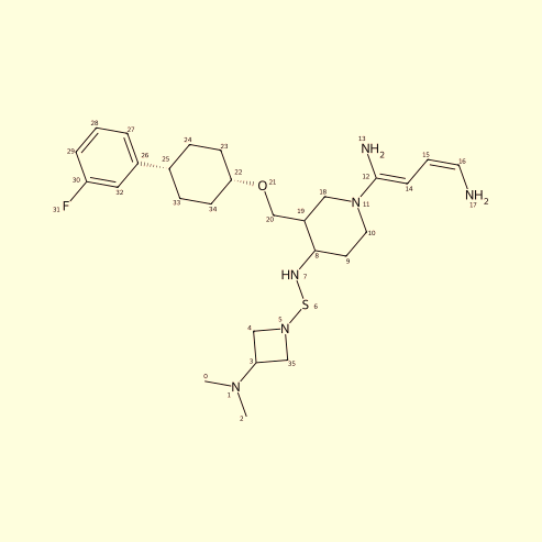 CN(C)C1CN(SNC2CCN(/C(N)=C/C=C\N)CC2CO[C@H]2CC[C@@H](c3cccc(F)c3)CC2)C1